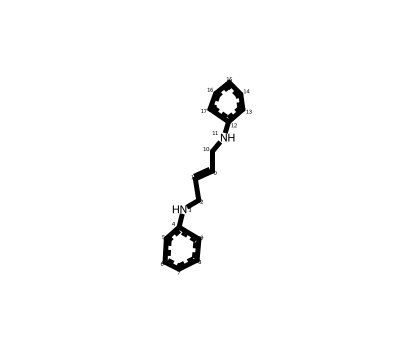 C(=CCNc1ccccc1)CNc1ccccc1